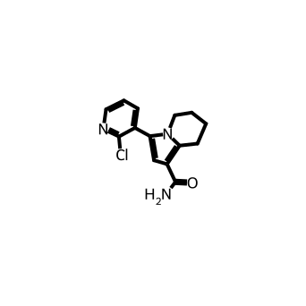 NC(=O)c1cc(-c2cccnc2Cl)n2c1CCCC2